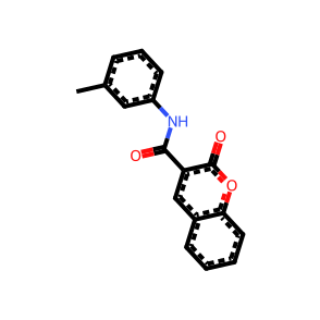 Cc1cccc(NC(=O)c2cc3ccccc3oc2=O)c1